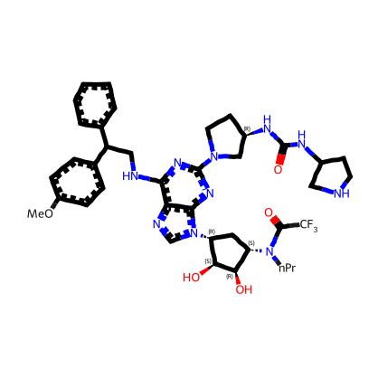 CCCN(C(=O)C(F)(F)F)[C@H]1C[C@@H](n2cnc3c(NCC(c4ccccc4)c4ccc(OC)cc4)nc(N4CC[C@@H](NC(=O)NC5CCNC5)C4)nc32)[C@H](O)[C@@H]1O